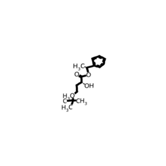 C[C@@H](OC(=O)[C@H](O)CCOC(C)(C)C)c1ccccc1